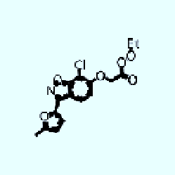 CCOOC(=O)COc1ccc2c(-c3ccc(C)o3)noc2c1Cl